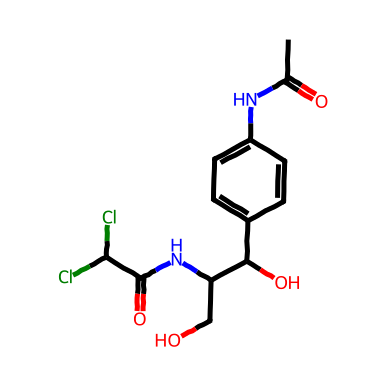 CC(=O)Nc1ccc(C(O)C(CO)NC(=O)C(Cl)Cl)cc1